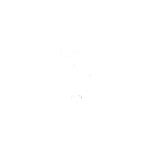 C=CC(=O)OC(C)c1cccc([N+](=O)[O-])c1